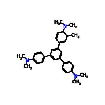 CC1C=C(c2cc(-c3ccc(N(C)C)cc3)cc(-c3ccc(N(C)C)cc3)c2)C=CC1N(C)C